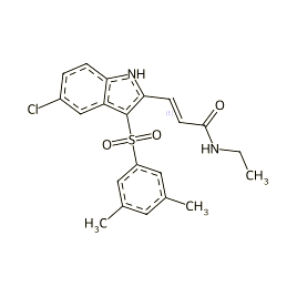 CCNC(=O)/C=C/c1[nH]c2ccc(Cl)cc2c1S(=O)(=O)c1cc(C)cc(C)c1